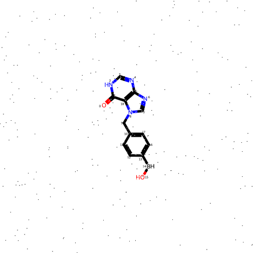 O=c1[nH]cnc2ncn(Cc3ccc(BO)cc3)c12